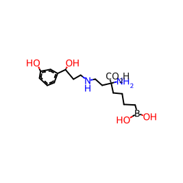 N[C@](CCCCB(O)O)(CCNCC[C@H](O)c1cccc(O)c1)C(=O)O